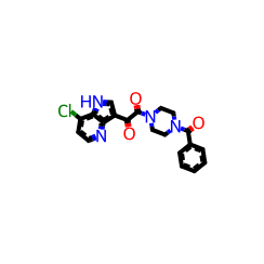 O=C(C(=O)N1CCN(C(=O)c2ccccc2)CC1)c1c[nH]c2c(Cl)ccnc12